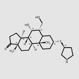 C[C@]12CC[C@@H](S[C@H]3CCNC3)CC1[C@@H](CO)[C@@H](O)[C@@H]1[C@@H]2CC[C@]2(C)C(=O)CC[C@@H]12